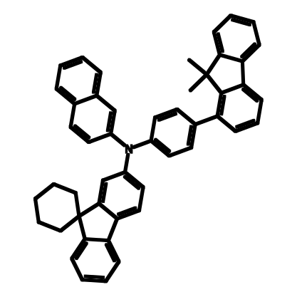 CC1(C)c2ccccc2-c2cccc(-c3ccc(N(c4ccc5c(c4)C4(CCCCC4)c4ccccc4-5)c4ccc5ccccc5c4)cc3)c21